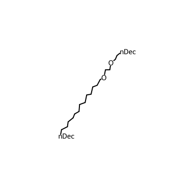 CCCCCCCCCCCCCCCCCCCCCCCOCCOCCCCCCCCCCCC